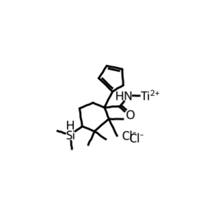 C[SiH](C)C1CCC(C(=O)[NH][Ti+2])(C2=CC=CC2)C(C)(C)C1(C)C.[Cl-].[Cl-]